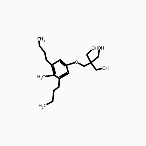 CCCCc1cc(OCC(CO)(CO)CO)cc(CCCC)c1C